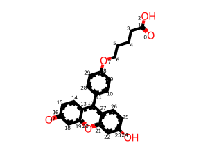 O=C(O)CCCCOc1ccc(-c2c3ccc(=O)cc-3oc3cc(O)ccc23)cc1